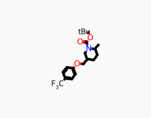 CC1CCC(COc2ccc(C(F)(F)F)cc2)CN1C(=O)OC(C)(C)C